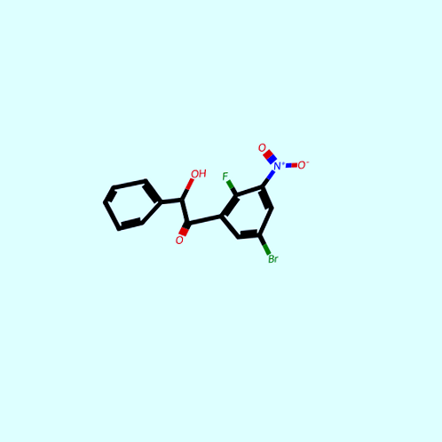 O=C(c1cc(Br)cc([N+](=O)[O-])c1F)C(O)c1ccccc1